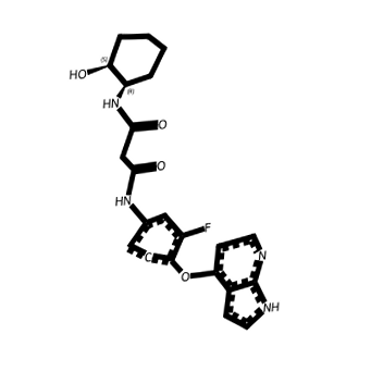 O=C(CC(=O)N[C@@H]1CCCC[C@@H]1O)Nc1ccc(Oc2ccnc3[nH]ccc23)c(F)c1